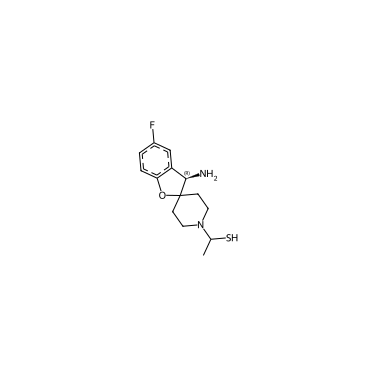 CC(S)N1CCC2(CC1)Oc1ccc(F)cc1[C@H]2N